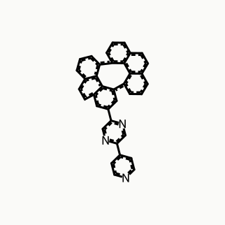 c1cc2ccc3cccc4c5cc(-c6cnc(-c7ccncc7)cn6)cc6ccc7cccc(c(c1)c2c34)c7c65